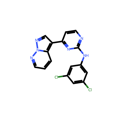 Clc1cc(Cl)cc(Nc2nccc(-c3cnn4ncccc34)n2)c1